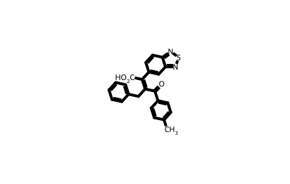 Cc1ccc(C(=O)C(Cc2ccccc2)=C(C(=O)O)c2ccc3nsnc3c2)cc1